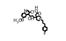 COc1ccc2ncc(Cl)c([C@@H](O)CCC3(CC(=O)O)CCN(CCCc4ccc(F)cc4)CC3)c2c1